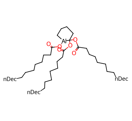 CCCCCCCCCCCCCCCCCC(=O)[O][Al]1[CH2]CCC[C]1(OC(=O)CCCCCCCCCCCCCCCCC)OC(=O)CCCCCCCCCCCCCCCCC